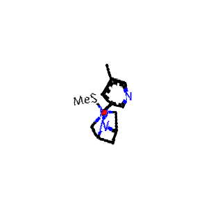 CSN1CC2CC(C1)N2Cc1cncc(C)c1